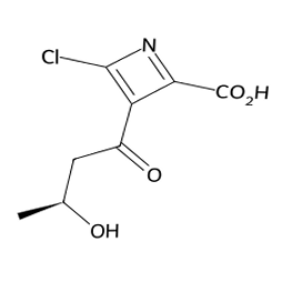 C[C@H](O)CC(=O)C1=C(Cl)N=C1C(=O)O